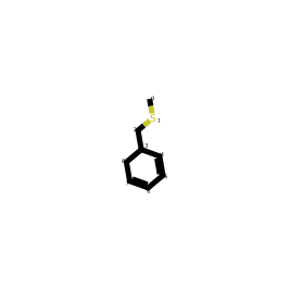 CSCC1C=CC=CC1